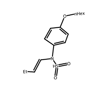 CCC=CN(c1ccc(OCCCCCC)cc1)[SH](=O)=O